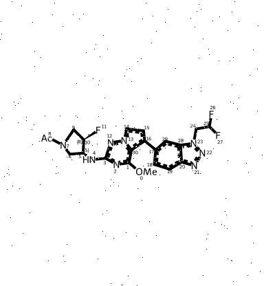 COc1nc(N[C@H]2CN(C(C)=O)C[C@H]2F)nn2ccc(-c3ccc4nnn(CC(F)F)c4c3)c12